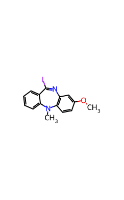 COc1ccc2c(c1)N=C(I)c1ccccc1N2C